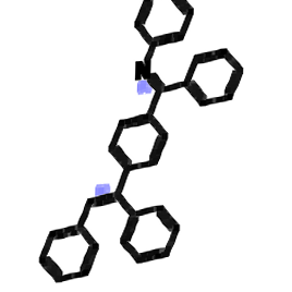 C(=C(/c1ccccc1)c1ccc(/C(=N/c2ccccc2)c2ccccc2)cc1)/c1ccccc1